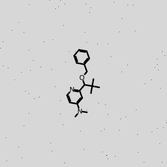 CN(C)c1ccnc(C(OCc2ccccc2)C(C)(C)C)c1